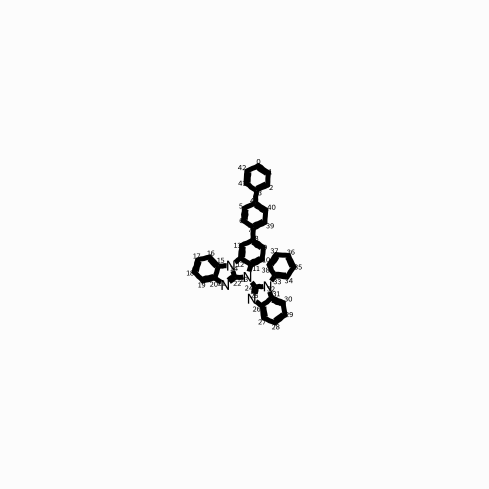 c1ccc(-c2ccc(-c3ccc4c(c3)n3c5ccccc5nc3n4-c3nc4ccccc4n3-c3ccccc3)cc2)cc1